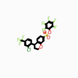 O=S(=O)(Oc1c(F)c(F)c(F)c(F)c1F)c1ccc2c(c1)OCCC2c1ccc(C(F)(F)F)cc1Cl